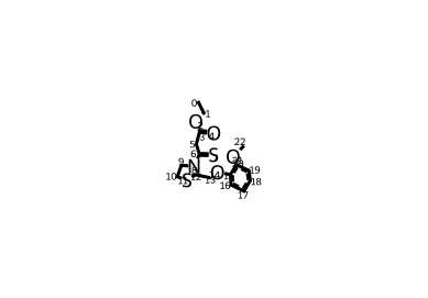 CCOC(=O)CC(=S)N1CCSC1COc1ccccc1OC